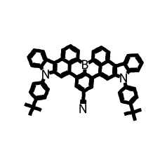 CC(C)(C)c1ccc(-n2c3ccccc3c3c4cccc5c4c(cc32)-c2cc(C#N)cc3c2B5c2cccc4c2c-3cc2c4c3ccccc3n2-c2ccc(C(C)(C)C)cc2)cc1